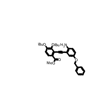 COC(=O)c1ccc(OCC(C)C)c(OCC(C)C)c1C#Cc1cc(OCc2ccccc2)ccc1N